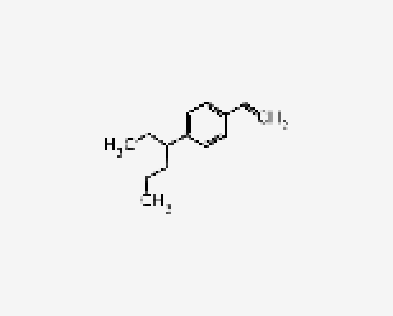 C=Cc1ccc(C(CC)CCC)cc1